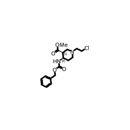 COC(=O)[C@H]1CN(CCCl)CC[C@H]1NC(=O)OCc1ccccc1